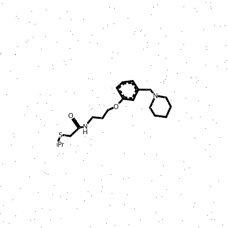 CC(C)SCC(=O)NCCCOc1cccc(CN2CCCCC2)c1